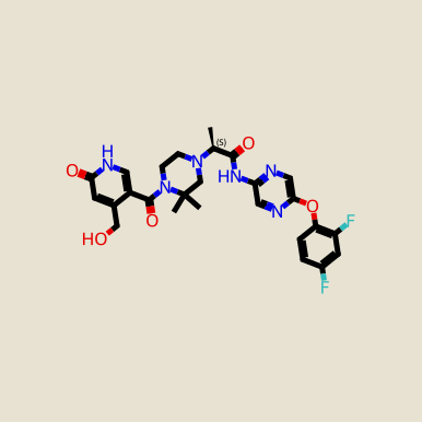 C[C@@H](C(=O)Nc1cnc(Oc2ccc(F)cc2F)cn1)N1CCN(C(=O)c2c[nH]c(=O)cc2CO)C(C)(C)C1